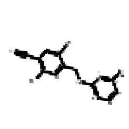 N#Cc1cc(F)c(COc2nccc(Cl)n2)cc1F